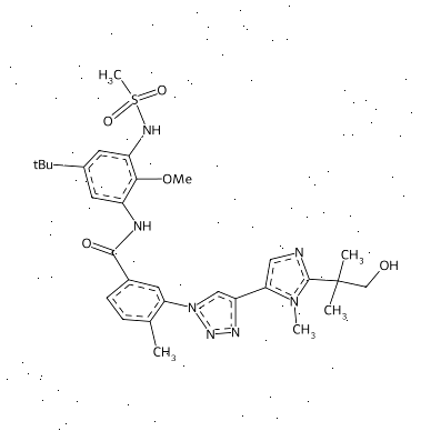 COc1c(NC(=O)c2ccc(C)c(-n3cc(-c4cnc(C(C)(C)CO)n4C)nn3)c2)cc(C(C)(C)C)cc1NS(C)(=O)=O